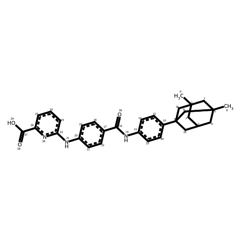 CC12CC3CC(C)(C1)CC(c1ccc(NC(=O)c4ccc(Nc5cccc(C(=O)O)n5)cc4)cc1)(C3)C2